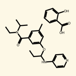 CCC(Nc1ccncc1)Oc1cc(C)cc(C(=O)N(CC)C(C)C)c1.O=C(O)c1ccccc1O